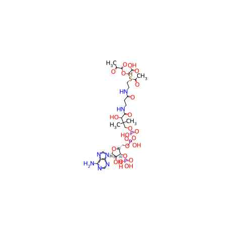 CC(=O)C(=O)OC(C(=O)O)[SH](CCNC(=O)CCNC(=O)C(O)C(C)(C)COP(=O)(O)OP(=O)(O)OC[C@H]1O[C@@H](n2cnc3c(N)ncnc32)[C@H](O)[C@@H]1OP(=O)(O)O)C(C)=O